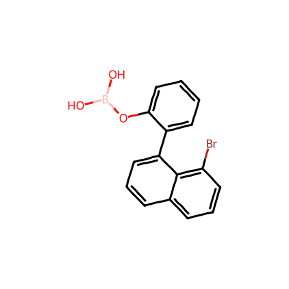 OB(O)Oc1ccccc1-c1cccc2cccc(Br)c12